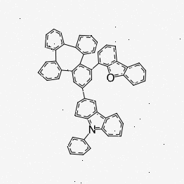 c1ccc(-n2c3ccccc3c3cc(-c4cc5c(c(-c6cccc7c6oc6ccccc67)c4)-c4ccccc4-c4ccccc4-c4ccccc4-5)ccc32)cc1